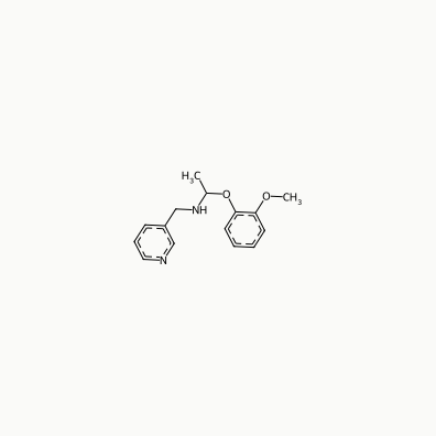 COc1ccccc1OC(C)NCc1cccnc1